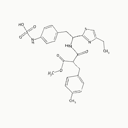 CCc1csc(C(Cc2ccc(NS(=O)(=O)O)cc2)NC(=O)C(Cc2ccc(C)cc2)C(=O)OC)n1